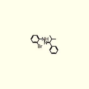 CC(C)/C(=N\Nc1ccccc1Br)c1ccccc1